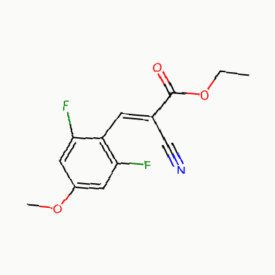 CCOC(=O)C(C#N)=Cc1c(F)cc(OC)cc1F